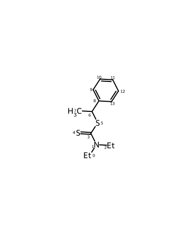 CCN(CC)C(=S)SC(C)c1ccccc1